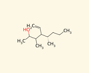 C=CC(C(C)C(C)O)[C@@H](C)CCC